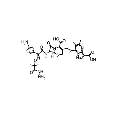 Cc1nc2c(C(=O)O)cnn2c(SCC2=C(C(=O)O)N3C(=O)C(NC(=O)C(=NOC(C)(C)C(=O)NN)c4csc(N)n4)[C@@H]3SC2)c1C